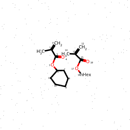 C=C(C)C(=O)OC1CCCCC1.C=C(C)C(=O)OCCCCCC